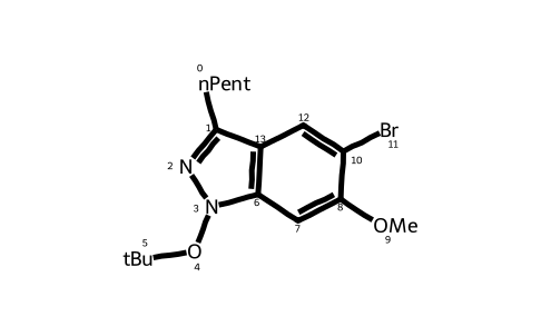 CCCCCc1nn(OC(C)(C)C)c2cc(OC)c(Br)cc12